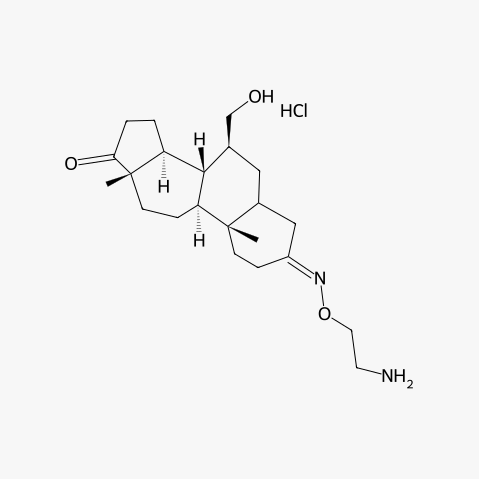 C[C@]12CCC(=NOCCN)CC1C[C@H](CO)[C@@H]1[C@@H]2CC[C@]2(C)C(=O)CC[C@@H]12.Cl